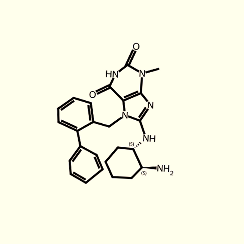 Cn1c(=O)[nH]c(=O)c2c1nc(N[C@H]1CCCC[C@@H]1N)n2Cc1ccccc1-c1ccccc1